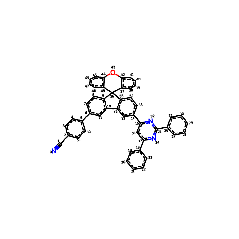 N#Cc1ccc(-c2ccc3c(c2)-c2cc(-c4cc(-c5ccccc5)nc(-c5ccccc5)n4)ccc2C32c3ccccc3Oc3ccccc32)cc1